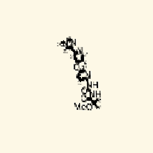 COC(C)(C)C(=O)NC(=O)Nc1ccc(Oc2ccnc(-c3cn(C)cn3)c2)cn1